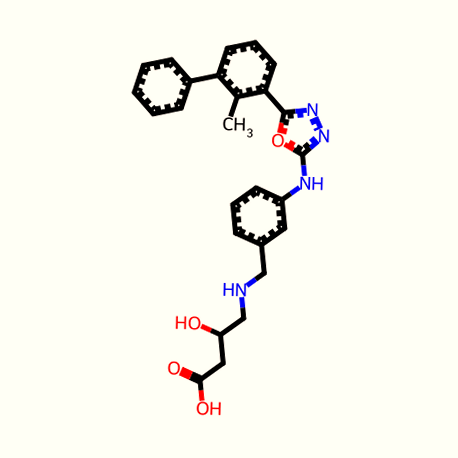 Cc1c(-c2ccccc2)cccc1-c1nnc(Nc2cccc(CNCC(O)CC(=O)O)c2)o1